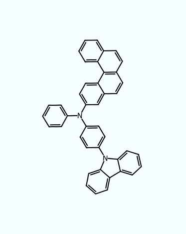 c1ccc(N(c2ccc(-n3c4ccccc4c4ccccc43)cc2)c2ccc3c(ccc4ccc5ccccc5c43)c2)cc1